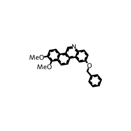 COc1ccc2c(ccc3c4cc(OCc5ccccc5)ccc4ncc23)c1OC